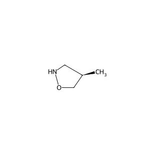 C[C@@H]1CNOC1